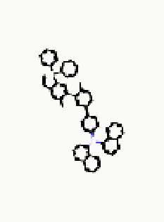 Cc1ccc(-c2ccc(N(c3cccc4ccccc34)c3cccc4ccccc34)cc2)cc1-c1cc2c(cc1C)C=C[Si]2(c1ccccc1)c1ccccc1